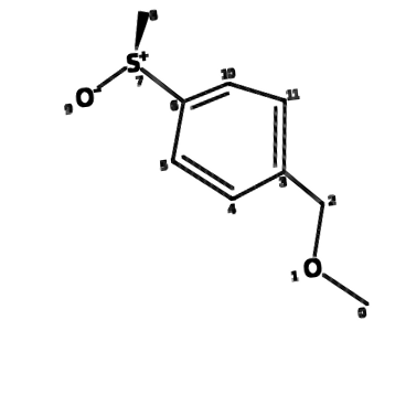 COCc1ccc([S@+](C)[O-])cc1